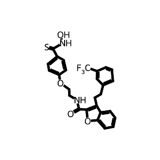 O=C(NCCOc1ccc(C(=S)NO)cc1)c1oc2ccccc2c1CCc1cccc(C(F)(F)F)c1